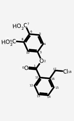 O=C(Oc1ccc(C(=O)O)c(C(=O)O)c1)c1ccccc1CCl